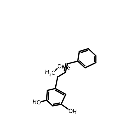 COC.Oc1cc(O)cc(CC=Cc2ccccc2)c1